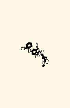 CCOC(=O)C(C)(C)CNC(=O)c1nc(C#N)c2cc(Oc3ccccc3Cl)ccc2c1O